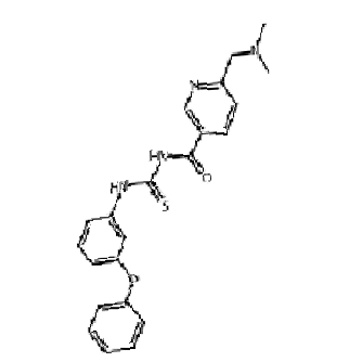 CN(C)Cc1ccc(C(=O)NC(=S)Nc2cccc(Oc3ccccc3)c2)cn1